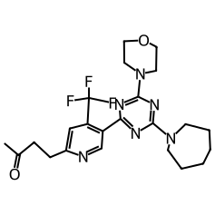 CC(=O)CCc1cc(C(F)(F)F)c(-c2nc(N3CCCCCC3)nc(N3CCOCC3)n2)cn1